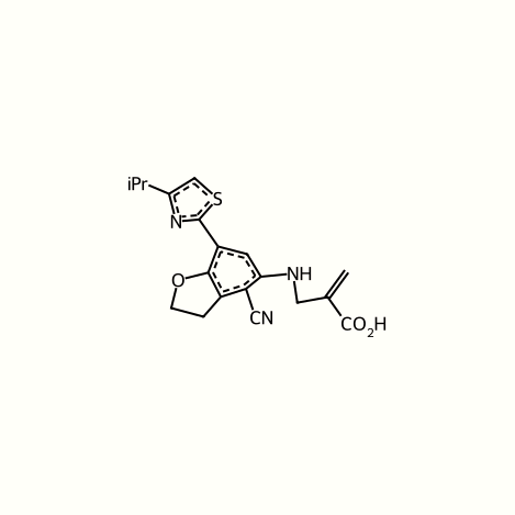 C=C(CNc1cc(-c2nc(C(C)C)cs2)c2c(c1C#N)CCO2)C(=O)O